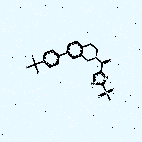 CS(=O)(=O)c1nc(C(=O)N2CCc3ccc(-c4ccc(C(F)(F)F)cc4)cc3C2)c[nH]1